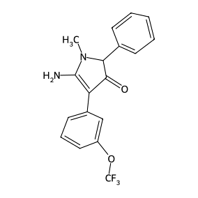 CN1C(N)=C(c2cccc(OC(F)(F)F)c2)C(=O)C1c1ccccc1